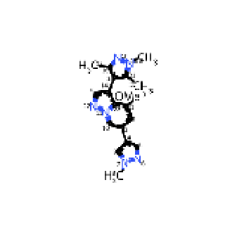 COc1cc(-c2cnn(C)c2)cn2ncc(-c3c(C)nn(C)c3C)c12